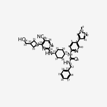 Cn1cc(-c2ccc(N(C(=O)NCc3ccccc3)[C@H]3CC[C@H](Nc4ncc(C#N)c(N5CC(CO)C5)n4)CC3)nc2)cn1